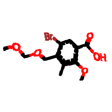 COCOCc1c(Br)cc(C(=O)O)c(OC)c1C